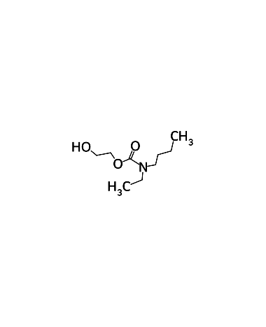 CCCCN(CC)C(=O)OCCO